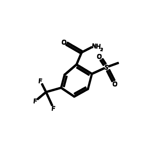 CS(=O)(=O)c1ccc(C(F)(F)F)cc1C(N)=O